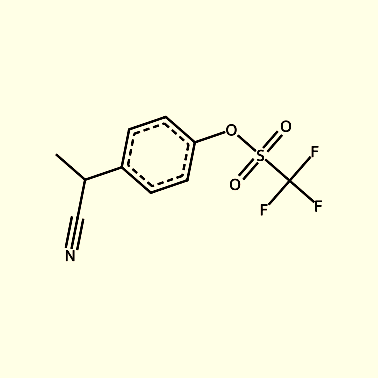 CC(C#N)c1ccc(OS(=O)(=O)C(F)(F)F)cc1